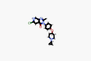 Cc1nc2cnc(Cl)cc2c(=O)n1-c1ccc(OC2CCN(C3CC3)CC2)cc1